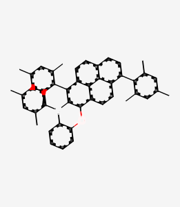 Cc1cc(C)c(B2c3ccccc3Oc3c2c(-c2c(C)cc(C)cc2C)c2ccc4ccc(-c5c(C)cc(C)cc5C)c5ccc3c2c45)c(C)c1